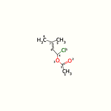 CC(=O)OC(Cl)C=C(C)C